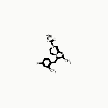 CC1=NC2=CN(C(=O)OC(C)(C)C)CCN2C1Cc1ccc(F)cc1C(F)(F)F